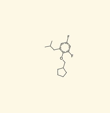 CC(C)Cc1cc(F)cc(F)c1OCC1CCCC1